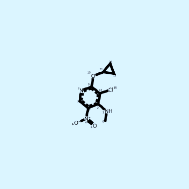 CNc1c([N+](=O)[O-])cnc(OC2CC2)c1Cl